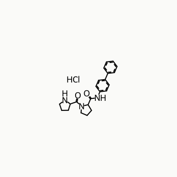 Cl.O=C(Nc1ccc(-c2ccccc2)cc1)C1CCCN1C(=O)C1CCCN1